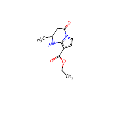 CCOC(=O)c1ccn2c1NC(C)CC2=O